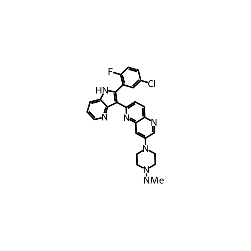 CNN1CCN(c2cnc3ccc(-c4c(-c5cc(Cl)ccc5F)[nH]c5cccnc45)nc3c2)CC1